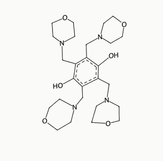 Oc1c(CN2CCOCC2)c(CN2CCOCC2)c(O)c(CN2CCOCC2)c1CN1CCOCC1